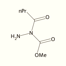 CCCC(=O)N(N)C(=O)OC